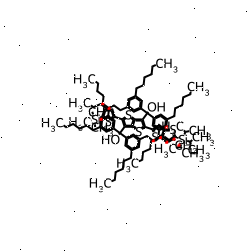 CCCCCCc1cc(CCCCCC)cc(C(O)(c2cc(CCCCCC)cc(CCCCCC)c2)c2c(-c3ccc([Si](C)(C)C)s3)sc3c(C(O)(c4cc(CCCCCC)cc(CCCCCC)c4)c4cc(CCCCCC)cc(CCCCCC)c4)c(-c4cc5sc([Si](C(C)C)(C(C)C)C(C)C)cc5s4)sc23)c1